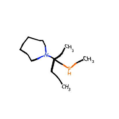 CCC(C)(PC)N1CCCC1